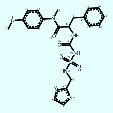 COc1ccc(N(C)C(=O)C(Cc2ccccc2)NC(=O)NS(=O)(=O)NCc2nccs2)cc1